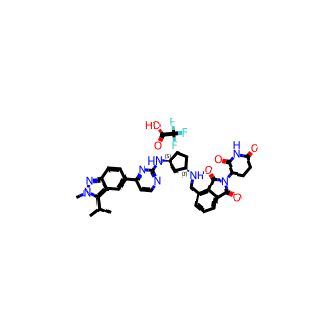 CC(C)c1c2cc(-c3ccnc(N[C@H]4CC[C@H](NCc5cccc6c5C(=O)N(C5CCC(=O)NC5=O)C6=O)C4)n3)ccc2nn1C.O=C(O)C(F)(F)F